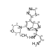 C[C@@H]1COCCN1c1cc(-c2nncs2)c2cnn(C(=N)/C=C\N)c2n1